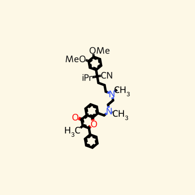 COc1ccc(C(C#N)(CCCN(C)CCN(C)Cc2cccc3c(=O)c(C)c(-c4ccccc4)oc23)C(C)C)cc1OC